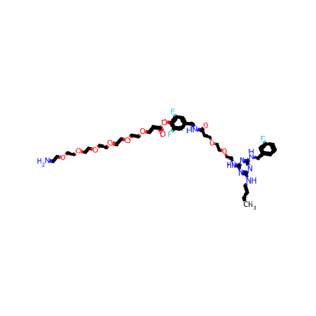 CCCCNc1nc(NCCOCCOCCC(=O)NCc2cc(F)c(OC(=O)CCOCCOCCOCCOCCOCCOCCN)c(F)c2)nc(NCc2cccc(F)c2)n1